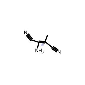 N#C/C(N)=C(\I)C#N